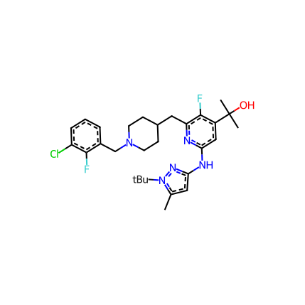 Cc1cc(Nc2cc(C(C)(C)O)c(F)c(CC3CCN(Cc4cccc(Cl)c4F)CC3)n2)nn1C(C)(C)C